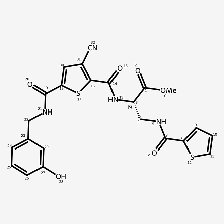 COC(=O)[C@H](CNC(=O)c1cccs1)NC(=O)c1sc(C(=O)NCc2cccc(O)c2)cc1C#N